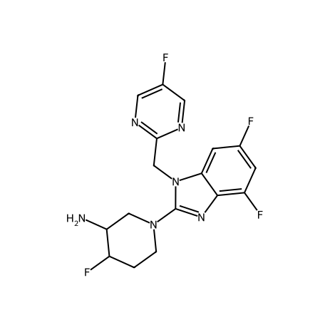 NC1CN(c2nc3c(F)cc(F)cc3n2Cc2ncc(F)cn2)CCC1F